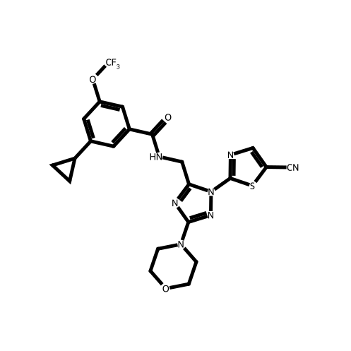 N#Cc1cnc(-n2nc(N3CCOCC3)nc2CNC(=O)c2cc(OC(F)(F)F)cc(C3CC3)c2)s1